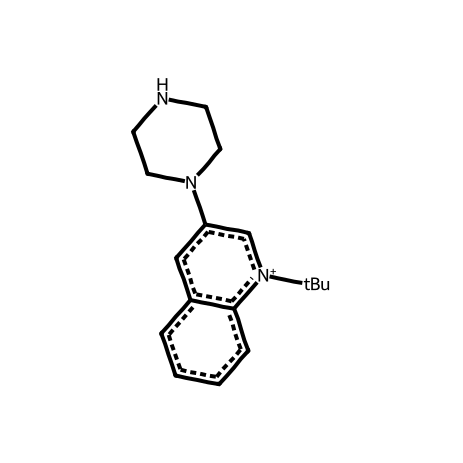 CC(C)(C)[n+]1cc(N2CCNCC2)cc2ccccc21